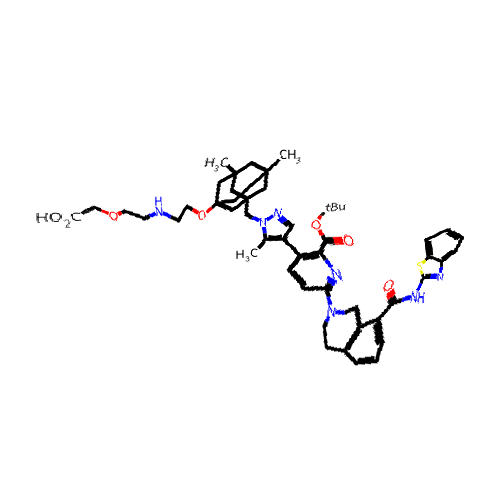 Cc1c(-c2ccc(N3CCc4cccc(C(=O)Nc5nc6ccccc6s5)c4C3)nc2C(=O)OC(C)(C)C)cnn1CC12CC3(C)CC(C)(C1)CC(OCCNCCOCC(=O)O)(C3)C2